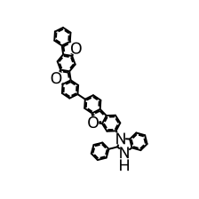 c1ccc(C2Nc3ccccc3N2c2ccc3c(c2)oc2cc(-c4ccc5oc6cc7c(cc6c5c4)oc4ccccc47)ccc23)cc1